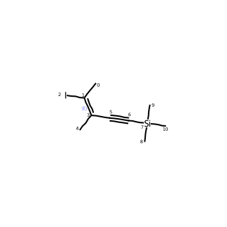 C/C(I)=C(/C)C#C[Si](C)(C)C